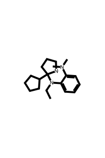 CCN(c1ccccc1N(C)C)C1(C2CCCC2)CCC[N]1